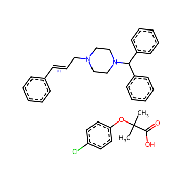 C(=C\c1ccccc1)/CN1CCN(C(c2ccccc2)c2ccccc2)CC1.CC(C)(Oc1ccc(Cl)cc1)C(=O)O